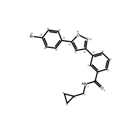 O=C(NCC1CC1)c1cccc(-c2cc(-c3ccc(Br)cc3)on2)c1